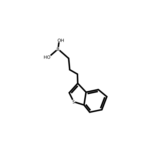 OB(O)CCCc1csc2ccccc12